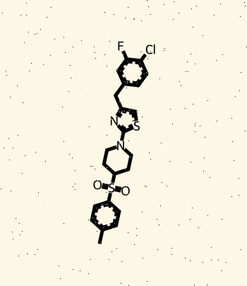 Cc1ccc(S(=O)(=O)C2CCN(c3nc(Cc4ccc(Cl)c(F)c4)cs3)CC2)cc1